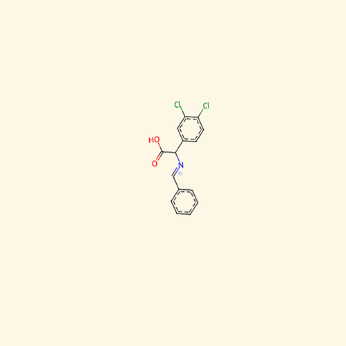 O=C(O)C(/N=C/c1ccccc1)c1ccc(Cl)c(Cl)c1